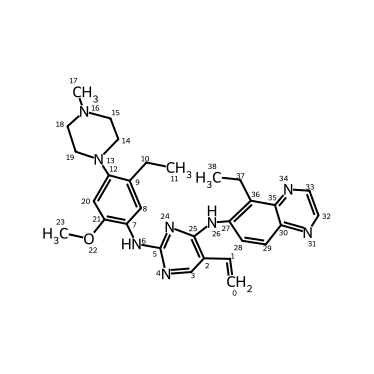 C=Cc1cnc(Nc2cc(CC)c(N3CCN(C)CC3)cc2OC)nc1Nc1ccc2nccnc2c1CC